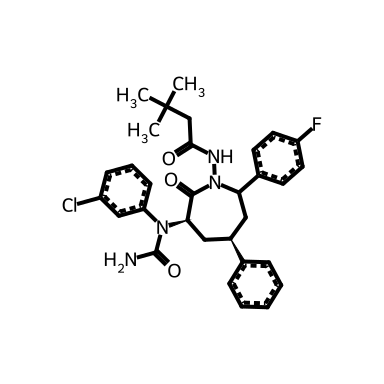 CC(C)(C)CC(=O)NN1C(=O)[C@H](N(C(N)=O)c2cccc(Cl)c2)C[C@H](c2ccccc2)CC1c1ccc(F)cc1